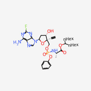 C#C[C@]1(CO[P@](=O)(N[C@@H](C)C(=O)OC(CCCCCC)CCCCCC)Oc2ccccc2)O[C@@H](n2cnc3c(N)nc(F)nc32)C[C@@H]1O